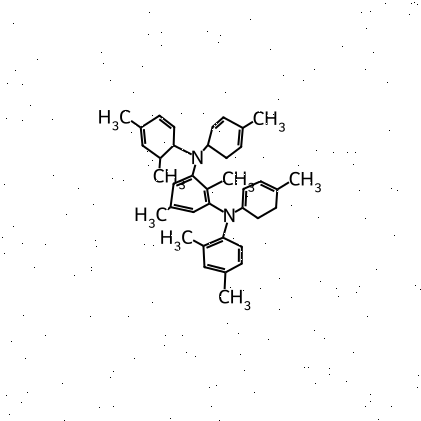 CC1=CCC(N(c2cc(C)cc(N(C3=CC=C(C)CC3)c3ccc(C)cc3C)c2C)C2C=CC(C)=CC2C)C=C1